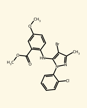 COC(=O)c1cc(OC)ccc1Nc1c(Br)c(C)nn1-c1ccccc1Cl